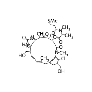 CSCCC(=O)N(C)[C@@H](C)C(=O)O[C@H]1CC(=O)N(C)c2cc(cc(CO)c2Cl)C/C(C)=C/C=C/[C@@H](CO)[C@@]2(O)C[C@H](OC(=O)N2)[C@@H](C)[C@@H]2O[C@@]12C